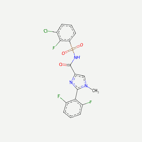 Cn1cc(C(=O)NS(=O)(=O)c2cccc(Cl)c2F)nc1-c1c(F)cccc1F